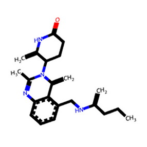 C=C(CCC)NCc1cccc2c1C(=C)N(C1CCC(=O)NC1=C)C(C)=N2